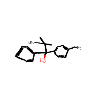 CCc1ccc(C(O)(c2ccccc2)C(C)(C)C(C)(C)C)cc1